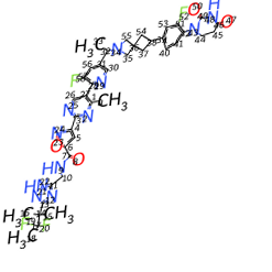 Cc1nc(-c2cc(C(=O)NCc3nc(C(C)(C)C(C)(F)F)n[nH]3)on2)ncc1-c1ncc(C(C)N2CC3(CC(c4ccc(N5CCC(=O)NC5=O)c(F)c4)C3)C2)cc1F